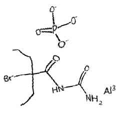 CCC(Br)(CC)C(=O)NC(N)=O.O=P([O-])([O-])[O-].[Al+3]